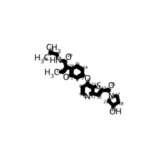 Cc1oc2cc(Oc3ccnc4cc(C(=O)N5CCC(O)C5)sc34)ccc2c1C(=O)NCC(C)C